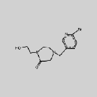 CCc1ccc(CN2CCN(CCO)C(=O)C2)cn1